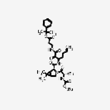 C=CCCC(NC(=O)[C@@H]1C2C(CN1C(=O)[C@@H](NC(=O)OC(C)(C)C)C(C)(C)C)C2(C)C)C(=O)C(=O)NCCC(=O)OC(C)(C)c1ccccc1